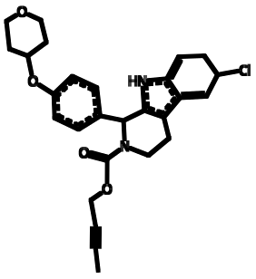 CC#CCOC(=O)N1CCc2c([nH]c3c2=CC(Cl)CC=3)C1c1ccc(OC2CCOCC2)cc1